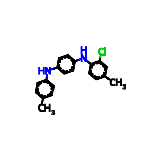 Cc1ccc(Nc2ccc(Nc3ccc(C)cc3Cl)cc2)cc1